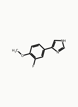 COc1ccc(-c2c[nH][c]n2)cc1F